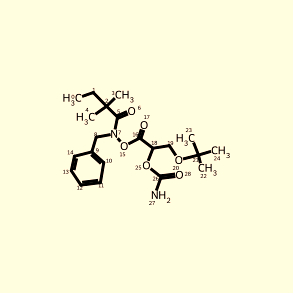 CCC(C)(C)C(=O)N(Cc1ccccc1)OC(=O)C(COC(C)(C)C)OC(N)=O